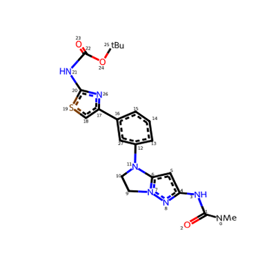 CNC(=O)Nc1cc2n(n1)CCN2c1cccc(-c2csc(NC(=O)OC(C)(C)C)n2)c1